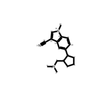 CN(C)CC1CCCC1c1ccc2c(c1)c(C#N)cn2C